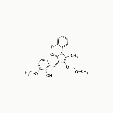 COCOC1=C(C)N(c2ccccc2F)C(=O)/C1=C\c1cccc(OC)c1O